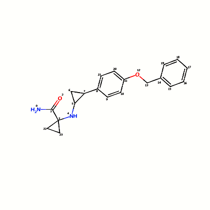 NC(=O)C1(NC2CC2c2ccc(OCc3ccccc3)cc2)CC1